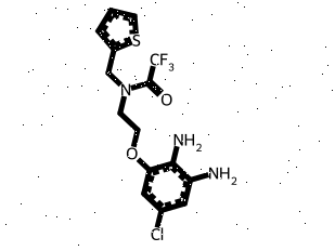 Nc1cc(Cl)cc(OCCN(Cc2cccs2)C(=O)C(F)(F)F)c1N